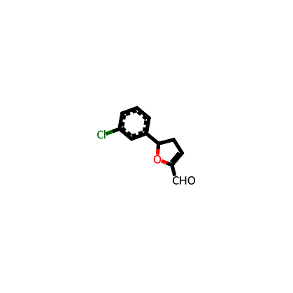 O=CC1=CCC(c2cccc(Cl)c2)O1